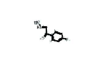 CC(C)(C)NCC(=O)c1ccc(F)cc1